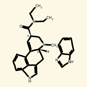 CCN(CC)C(=O)[C@@H]1C=C2c3cccc4[nH]cc(c34)C[C@H]2N(C)C1.c1ccc2[nH]cnc2c1